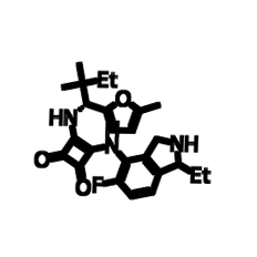 CCC1NCc2c1ccc(F)c2Nc1c(N[C@@H](c2ccc(C)o2)C(C)(C)CC)c(=O)c1=O